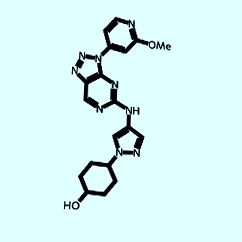 COc1cc(-n2nnc3cnc(Nc4cnn(C5CCC(O)CC5)c4)nc32)ccn1